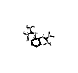 CN(C)C(=Nc1ccccc1N=C(N(C)C)N(C)C)N(C)C